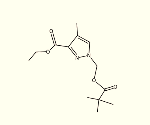 CCOC(=O)c1nn(COC(=O)C(C)(C)C)cc1C